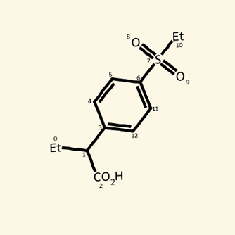 CCC(C(=O)O)c1ccc(S(=O)(=O)CC)cc1